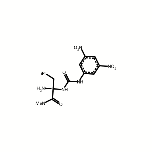 CNC(=O)[C@](N)(CC(C)C)NC(=O)Nc1cc([N+](=O)[O-])cc([N+](=O)[O-])c1